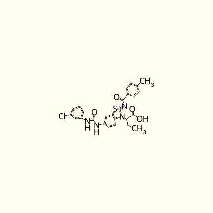 CCC(C(=O)O)n1/c(=N/C(=O)c2ccc(C)cc2)sc2cc(NC(=O)Nc3cccc(Cl)c3)ccc21